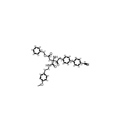 COc1ccc(CCNC(=O)C(N)(CC(=O)OCc2ccccc2)C(=O)Cc2ccc(-c3ccc(C#N)cc3)cc2)cc1